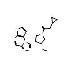 CC[C@H]1CN(C(=O)CC2CC2)C[C@H]1c1nnc2cnc3[nH]ccc3n12